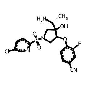 C[C@@H](N)C1(O)CN(S(=O)(=O)c2ccc(Cl)cn2)CC1Oc1ccc(C#N)cc1F